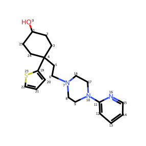 OC1CCC(CCN2CCN(c3ccccn3)CC2)(c2cccs2)CC1